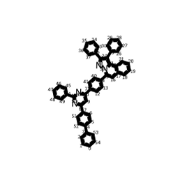 c1ccc(-c2ccc(-c3cc(-c4ccc(-c5cc6ccccc6c6c(-c7ccccc7)c(-c7ccccc7)nn56)cc4)nc(-c4ccccc4)n3)cc2)cc1